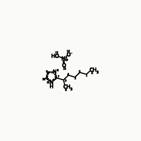 CCCCCC(C)c1ncc[nH]1.O=[N+]([O-])O